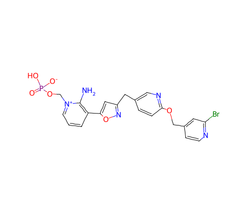 Nc1c(-c2cc(Cc3ccc(OCc4ccnc(Br)c4)nc3)no2)ccc[n+]1COP(=O)([O-])O